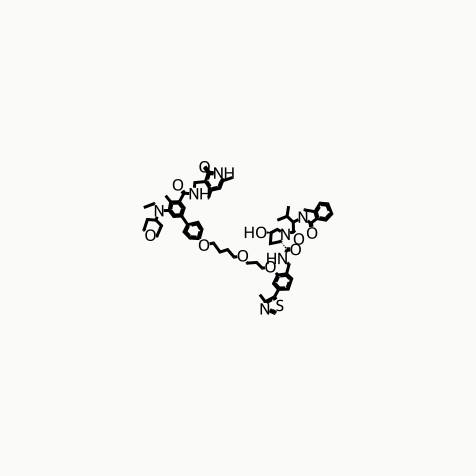 CCN(c1cc(-c2ccc(OCCCCOCCCOc3cc(-c4scnc4C)ccc3CNC(=O)[C@@H]3C[C@@H](O)CN3C(=O)C(C(C)C)N3Cc4ccccc4C3=O)cc2)cc(C(=O)NCc2c(C)cc(C)[nH]c2=O)c1C)C1CCOCC1